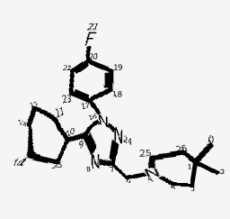 CC1(C)CCN(Cc2nc(C3CCCCC3)n(-c3ccc(F)cc3)n2)CC1